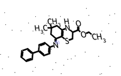 CCOC(=O)C1CSC2=C(CC(C)(C)C/C2=N\c2ccc(-c3ccccc3)cc2)N1